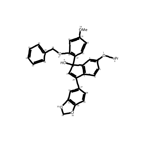 CCCOc1ccc2c(c1)C(O)(c1ccc(OC)cc1OCc1ccccc1)C=C2c1ccc2c(c1)OCO2